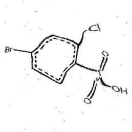 O=S(=O)(O)c1ccc(Br)cc1Cl